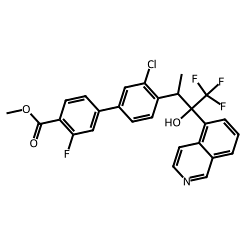 COC(=O)c1ccc(-c2ccc(C(C)C(O)(c3cccc4cnccc34)C(F)(F)F)c(Cl)c2)cc1F